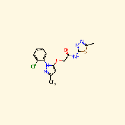 Cc1nnc(NC(=O)COc2cc(C(F)(F)F)nn2-c2ccccc2Cl)s1